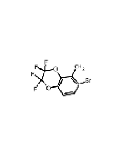 Cc1c(Br)ccc2c1OC(F)(F)C(F)(F)O2